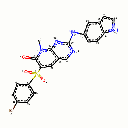 Cn1c(=O)c(S(=O)(=O)c2ccc(Br)cc2)cc2cnc(Nc3ccc4[nH]ccc4c3)nc21